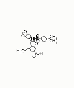 CCCc1cc(C(=O)O)ccc1CC(C(=O)NS(=O)(=O)c1ccc(C(C)C)cc1)c1ccc2c(c1)OCO2